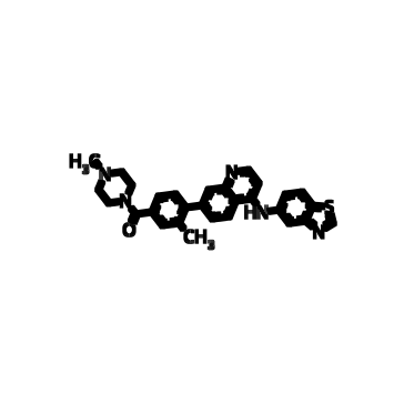 Cc1cc(C(=O)N2CCN(C)CC2)ccc1-c1ccc2c(Nc3ccc4scnc4c3)ccnc2c1